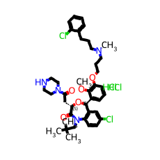 COc1c(OCCCN(C)CCCc2ccccc2Cl)cccc1[C@@H]1O[C@@H](CC(=O)N2CCNCC2)C(=O)N(CC(C)(C)C)c2ccc(Cl)cc21.Cl.Cl